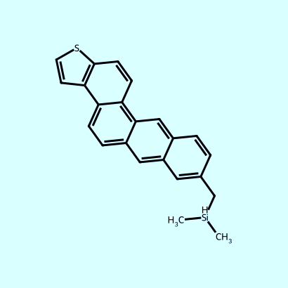 C[SiH](C)Cc1ccc2cc3c(ccc4c5ccsc5ccc34)cc2c1